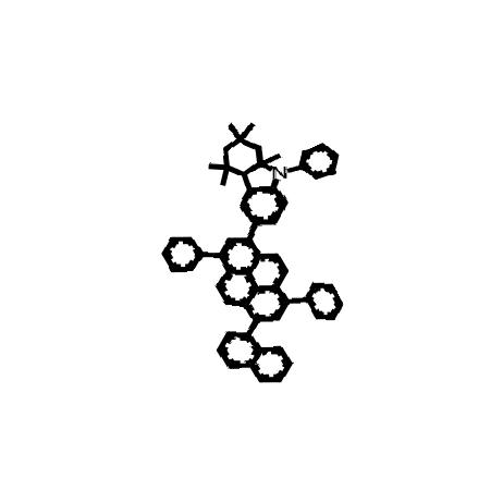 CC1(C)CC(C)(C)C2c3cc(-c4cc(-c5ccccc5)c5ccc6c(-c7cccc8ccccc78)cc(-c7ccccc7)c7ccc4c5c76)ccc3N(c3ccccc3)C2(C)C1